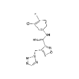 N=C(Nc1ccc(F)c(Cl)c1)c1nonc1Cn1ncnn1